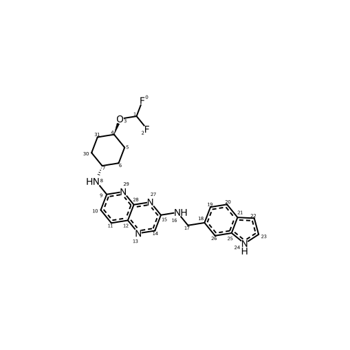 FC(F)O[C@H]1CC[C@H](Nc2ccc3ncc(NCc4ccc5cc[nH]c5c4)nc3n2)CC1